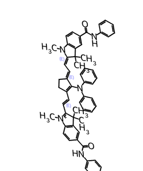 CN1/C(=C/C=C2\CCC(/C=C/C3=[N+](C)c4ccc(C(=O)Nc5ccccc5)cc4C3(C)C)=C2N(c2ccccc2)c2ccccc2)C(C)(C)c2cc(C(=O)Nc3ccccc3)ccc21